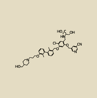 Cc1c(COc2cc(OCc3cncc(C#N)c3)c(CNC(CO)C(=O)O)cc2Cl)cccc1-c1cccc(OCCCN2CCC(CO)CC2)c1C